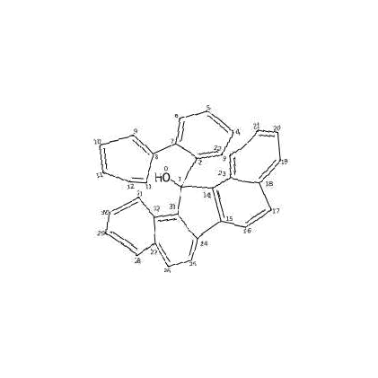 OC1(c2ccccc2-c2ccccc2)c2c(ccc3ccccc23)-c2ccc3ccccc3c21